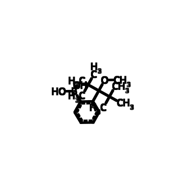 COC(c1ccccc1B(O)O)(C(C)(C)C)C(C)(C)C